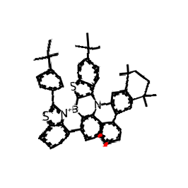 Cc1cc2c3c(c1)N(c1cc4c(cc1-c1ccccc1)C(C)(C)CCC4(C)C)c1c(sc4cc(C(C)(C)C)ccc14)B3[n+]1c(-c3ccc(C(C)(C)C)cc3)sc3cccc-2c31